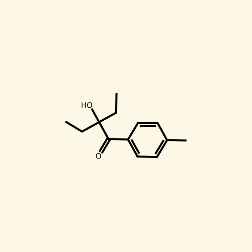 CCC(O)(CC)C(=O)c1ccc(C)cc1